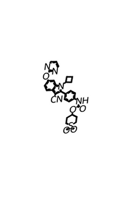 N#Cc1c(-c2ccc(NC(=O)OC3CCS(=O)(=O)CC3)cc2)n(C2CCC2)c2cc(Oc3ncccn3)ccc12